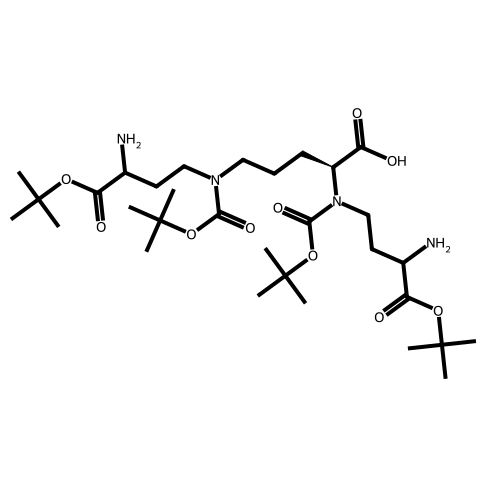 CC(C)(C)OC(=O)C(N)CCN(CCC[C@@H](C(=O)O)N(CCC(N)C(=O)OC(C)(C)C)C(=O)OC(C)(C)C)C(=O)OC(C)(C)C